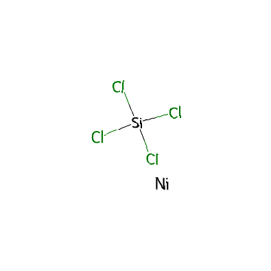 Cl[Si](Cl)(Cl)Cl.[Ni]